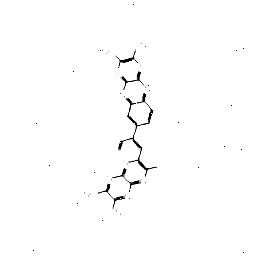 C=C/C(=C\c1nc2nc(C#N)c(C#N)nc2nc1C)c1ccc2nc3nc(C#N)c(C#N)nc3nc2c1